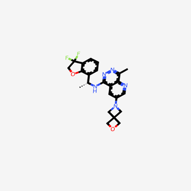 Cc1nnc(N[C@H](C)c2cccc3c2OCC3(F)F)c2cc(N3CC4(COC4)C3)cnc12